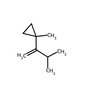 C=C(C(C)C)C1(C)CC1